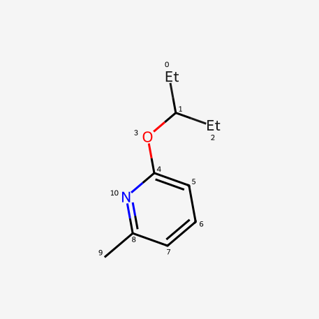 CCC(CC)Oc1cccc(C)n1